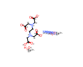 O.O.O=C([O-])CN(CCN(CC(=O)[O-])CC(=O)[O-])CC(=O)[O-].[Fe+3].[Fe+3].[NH2-].[NH2-].[NH2-].[NH4+]